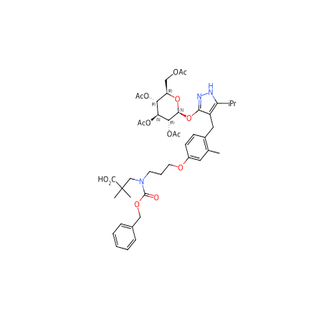 CC(=O)OC[C@H]1O[C@@H](Oc2n[nH]c(C(C)C)c2Cc2ccc(OCCCN(CC(C)(C)C(=O)O)C(=O)OCc3ccccc3)cc2C)[C@H](OC(C)=O)[C@@H](OC(C)=O)[C@@H]1OC(C)=O